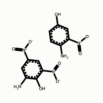 Nc1cc([N+](=O)[O-])cc([N+](=O)[O-])c1O.Nc1ccc(O)cc1[N+](=O)[O-]